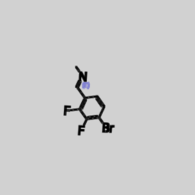 C/N=C/c1ccc(Br)c(F)c1F